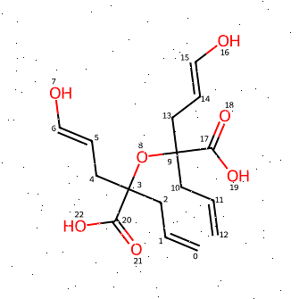 C=CCC(CC=CO)(OC(CC=C)(CC=CO)C(=O)O)C(=O)O